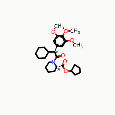 COc1cc([C@@H](C(=O)N2CCCC[C@H]2C(=O)OC2CCCC2)C2CCCCC2)cc(OC)c1OC